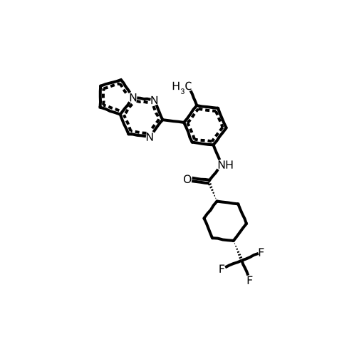 Cc1ccc(NC(=O)[C@H]2CC[C@@H](C(F)(F)F)CC2)cc1-c1ncc2cccn2n1